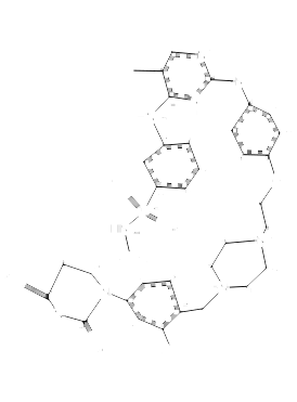 Cc1cnc(Nc2ccc(OCCN3CCN(Cc4ccc(N5CCC(=O)NC5=O)cc4F)CC3)cc2)nc1Nc1cccc(S(=O)(=O)NC(C)(C)C)c1